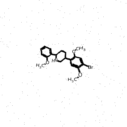 COc1cc(C2CCC(c3ccccc3OC)NC2)c(OC)cc1Br